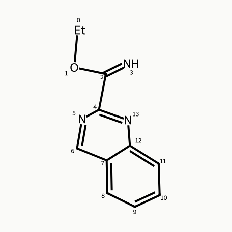 CCOC(=N)c1ncc2ccccc2n1